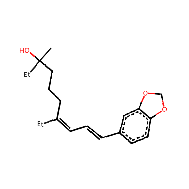 CCC(=CC=Cc1ccc2c(c1)OCO2)CCCC(C)(O)CC